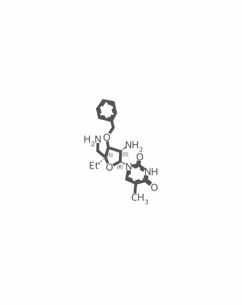 CC[C@@]1(CN)O[C@@H](n2cc(C)c(=O)[nH]c2=O)[C@@H](N)C1OCc1ccccc1